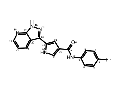 O=C(Nc1ccc(F)cc1)c1c[nH]c(-c2n[nH]c3ncccc23)c1